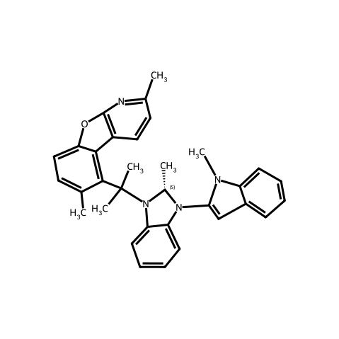 Cc1ccc2c(n1)oc1ccc(C)c(C(C)(C)N3c4ccccc4N(c4cc5ccccc5n4C)[C@H]3C)c12